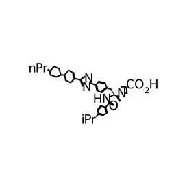 C=C([C@H](Cc1ccc(-c2ncc(C3=CCC(C4CCC(CCC)CC4)CC3)cn2)cc1)NC(=O)c1ccc(C(C)C)cc1)N1CC(C(=O)O)C1